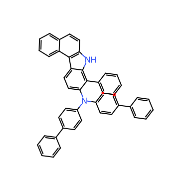 c1ccc(-c2ccc(N(c3ccc(-c4ccccc4)cc3)c3ccc4c([nH]c5ccc6ccccc6c54)c3-c3ccccc3)cc2)cc1